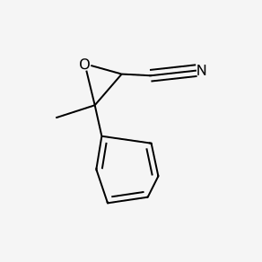 CC1(c2ccccc2)OC1C#N